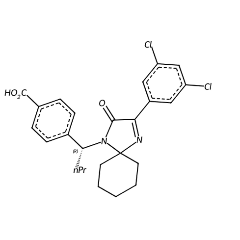 CCC[C@H](c1ccc(C(=O)O)cc1)N1C(=O)C(c2cc(Cl)cc(Cl)c2)=NC12CCCCC2